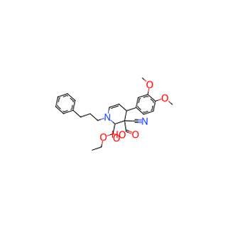 CCOC(=O)C1N(CCCc2ccccc2)C=CC(c2ccc(OC)c(OC)c2)C1(C#N)C(=O)O